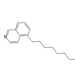 CCCCCCCCc1cccc2cnccc12